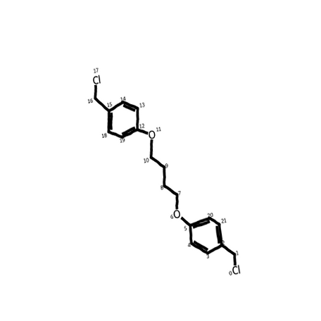 ClCc1ccc(OCCCCOc2ccc(CCl)cc2)cc1